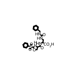 O=C(NCc1ccccc1)NCC(NC(=O)C1COC(S(=O)(=O)c2ccccc2)N1)C(=O)O